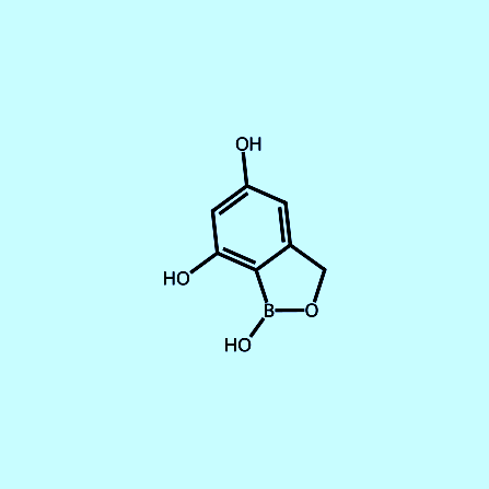 OB1OCc2cc(O)cc(O)c21